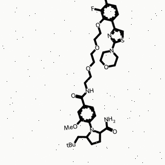 COc1cc(C(=O)NCCOCCOCCOc2c(-c3csc(N4CCOCC4)n3)ccc(F)c2F)ccc1N1C(CC(C)(C)C)CCC1C(N)=O